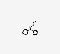 CCCCNC(c1ccccc1)c1ccccc1